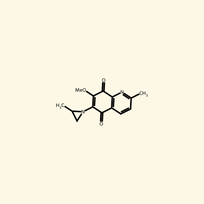 COC1=C(N2CC2C)C(=O)c2ccc(C)nc2C1=O